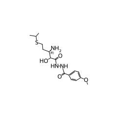 COc1ccc(C(=O)NNC(=O)C(O)[C@H](N)CCSC(C)C)cc1